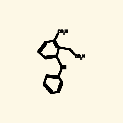 O=C(O)Cc1c(Nc2ccccc2)cccc1C(=O)O